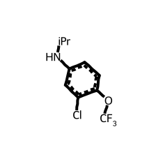 CC(C)Nc1ccc(OC(F)(F)F)c(Cl)c1